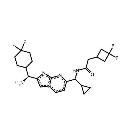 N[C@H](c1cn2ccc([C@@H](NC(=O)CC3CC(F)(F)C3)C3CC3)nc2n1)C1CCC(F)(F)CC1